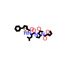 CC(C)CC(NC(=O)c1ccc(-c2ccccc2)s1)C(=O)N1CCC2C1C(=O)CN2C(=O)c1ccco1